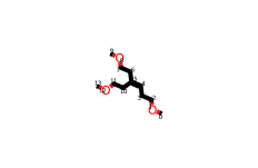 COCCC=C(CCOC)CCOC